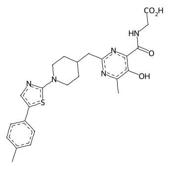 Cc1ccc(-c2cnc(N3CCC(Cc4nc(C)c(O)c(C(=O)NCC(=O)O)n4)CC3)s2)cc1